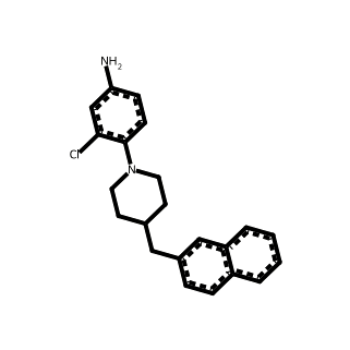 Nc1ccc(N2CCC(Cc3ccc4ccccc4c3)CC2)c(Cl)c1